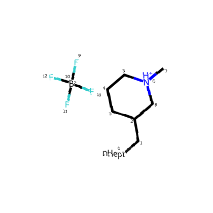 CCCCCCCCC1CCC[NH+](C)C1.F[B-](F)(F)F